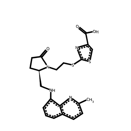 Cc1ccc2cccc(NC[C@H]3CCC(=O)N3CCSc3nc(C(=O)O)cs3)c2n1